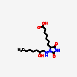 CCCCCC(O)CNN1C(=O)NC(=O)C1CCCCCCC(=O)O